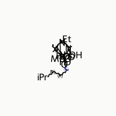 C=CC1=C(C)C2=NC1=CC1=NC(=CC3=C(C)C4=C(O)[C@](O)(C(=O)OC)C(=C5NC(=C2)[C@@H](C)[C@@H]5CCC(=O)OC/C=C(\C)CCC[C@H](C)CCC[C@H](C)CCCC(C)C)C4=N3)C(CC)=C1C